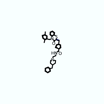 Cc1ccc(C)c(CN2C(=O)/C(=C\c3ccc(C(=O)NCCN4CCC(Cc5ccccc5)CC4)cc3)Sc3ccccc32)c1